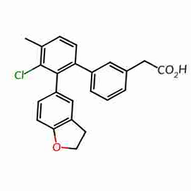 Cc1ccc(-c2cccc(CC(=O)O)c2)c(-c2ccc3c(c2)CCO3)c1Cl